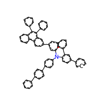 c1ccc(-c2ccc(-c3ccc(N(c4cccc(-c5ccc6c(c5)c(-c5ccccc5)c(-c5ccccc5)c5ccccc56)c4)c4ccc(-c5ccccc5)cc4-c4ccccc4)cc3)cc2)cc1